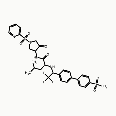 CC(C)C[C@H](N[C@@H](c1ccc(-c2ccc(S(C)(=O)=O)cc2)cc1)C(F)(F)F)C(=O)NC1CN(S(=O)(=O)c2ccccn2)CC1=O